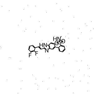 CNS(=O)(=O)c1ccccc1-c1ccc2[nH]c(/C=C/c3cccc(F)c3F)nc2c1